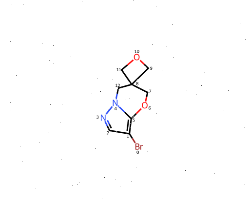 Brc1cnn2c1OCC1(COC1)C2